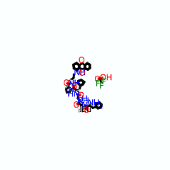 CC[C@H](C)[C@H](NC(=O)[C@@H](N)Cc1ccccc1)C(=O)NCC(=O)N[C@@H](Cc1ccccc1)C(=O)N1CCC[C@H]1C(=O)NCCCNc1cccc2c1C(=O)c1ccccc1C2=O.O=C(O)C(F)(F)F